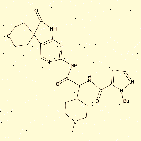 CCC(C)n1nccc1C(=O)NC(C(=O)Nc1cc2c(cn1)C1(CCOCC1)C(=O)N2)C1CCC(C)CC1